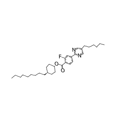 CCCCCCCCC[C@H]1CC[C@H](OC(=O)c2ccc(-c3ncc(CCCCCC)cn3)cc2F)CC1